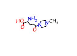 CN1CCN(C(=O)CC[C@H](N)C(=O)O)CC1